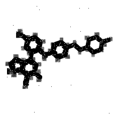 CN1CCC(CCc2ccc(Oc3ccc(Br)cc3-c3cn(C)c(=O)c4[nH]ccc34)cc2)CC1